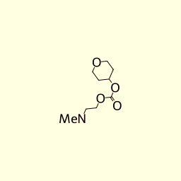 CNCCOC(=O)OC1CCOCC1